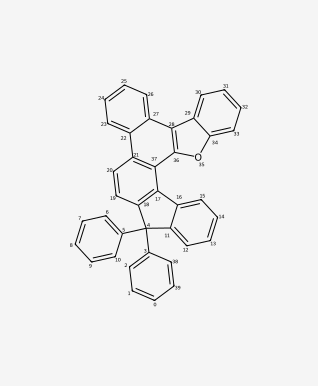 c1ccc(C2(c3ccccc3)c3ccccc3-c3c2ccc2c4ccccc4c4c5ccccc5oc4c32)cc1